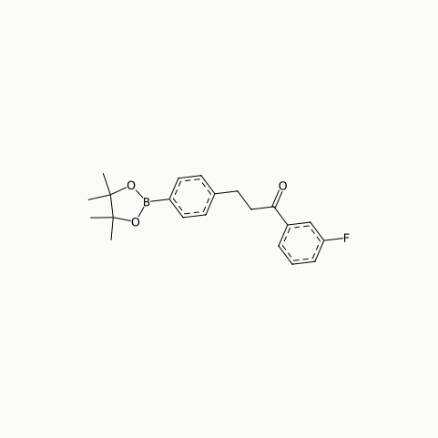 CC1(C)OB(c2ccc(CCC(=O)c3cccc(F)c3)cc2)OC1(C)C